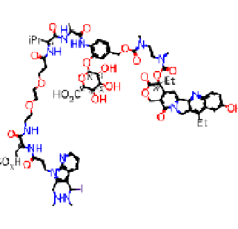 CCc1c2c(nc3ccc(O)cc13)-c1cc3c(c(=O)n1C2)COC(=O)[C@@]3(CC)OC(=O)N(C)CCN(C)C(=O)OCc1ccc(NC(=O)[C@H](C)NC(=O)[C@@H](NC(=O)CCOCCOCCNC(=O)[C@H](CS(=O)(=O)O)NC(=O)CCn2c3c(c4cccnc42)C(I)N(C)N(C)C3)C(C)C)c(O[C@@H]2O[C@H](C(=O)O)[C@@H](O)[C@H](O)[C@H]2O)c1